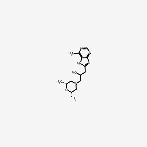 C[C@@H]1CN(CC(O)Cc2nc3ncnc(N)c3[nH]2)C[C@H](C)O1